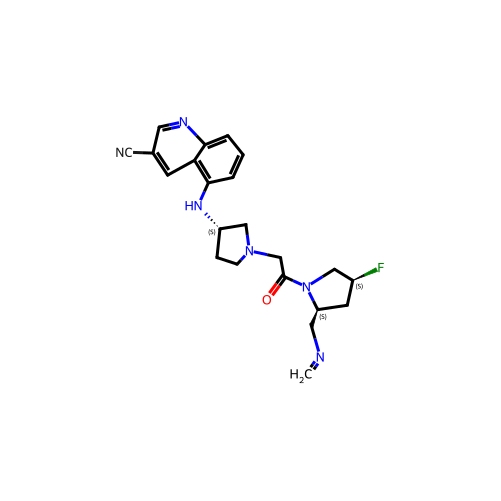 C=NC[C@@H]1C[C@H](F)CN1C(=O)CN1CC[C@H](Nc2cccc3ncc(C#N)cc23)C1